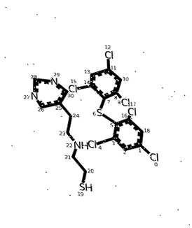 Clc1cc(Cl)c(Sc2c(Cl)cc(Cl)cc2Cl)c(Cl)c1.SCCNCCc1cncnc1